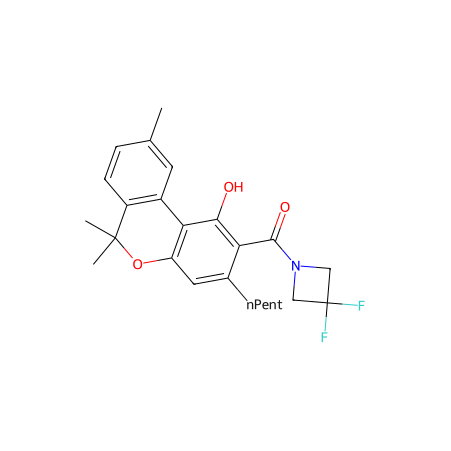 CCCCCc1cc2c(c(O)c1C(=O)N1CC(F)(F)C1)-c1cc(C)ccc1C(C)(C)O2